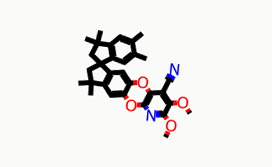 COc1nc2c(c(C#N)c1OC)Oc1cc3c(cc1O2)C(C)(C)CC31CC(C)(C)c2cc(C)c(C)cc21